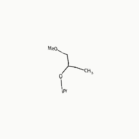 COCC(C)OC(C)C